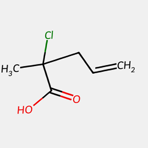 C=CCC(C)(Cl)C(=O)O